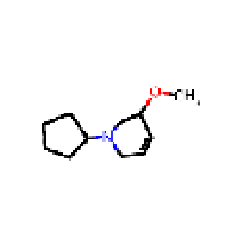 COC1C=CCN(C2CCCC2)C1